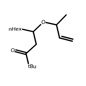 C=CC(C)OC(CCCCCC)CC(=O)C(C)(C)C